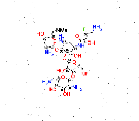 CNC[C@H]1O[C@H](O[C@H]2[C@H](O[C@@H]3O[C@H](CO)[C@@H](O[C@H]4O[C@@H](CN)[C@@H](O)[C@H](O)[C@H]4N)[C@H]3O)[C@@H](O)[C@H](NC(=O)[C@@H](O)[C@H](F)CN)C[C@@H]2N)[C@H](N)C[C@@H]1O